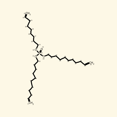 C=CCCCCCCCCCOP(=O)(OCCCCCCCC=C)OCCCCCCCCCC=C